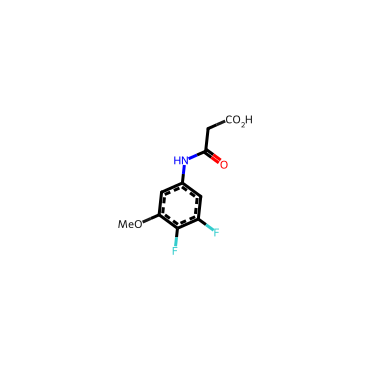 COc1cc(NC(=O)CC(=O)O)cc(F)c1F